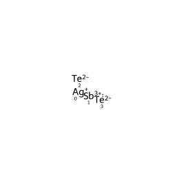 [Ag+].[Sb+3].[Te-2].[Te-2]